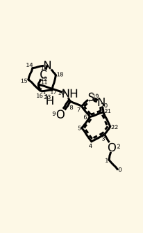 CCOc1ccc2c(C(=O)N[C@@H]3CN4CCC3CC4)snc2c1